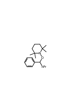 CCCC(ON1C(C)(C)CCCC1(C)C)c1ccccc1